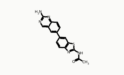 CC(=O)Nc1nc2ccc(-c3ccc4nc(N)ncc4c3)cc2s1